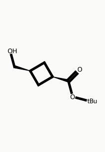 CC(C)(C)OC(=O)[C@H]1C[C@@H](CO)C1